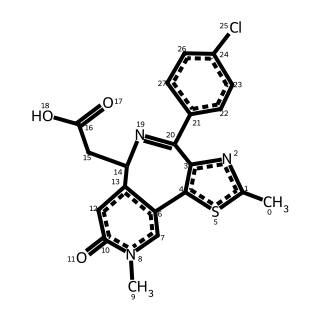 Cc1nc2c(s1)-c1cn(C)c(=O)cc1C(CC(=O)O)N=C2c1ccc(Cl)cc1